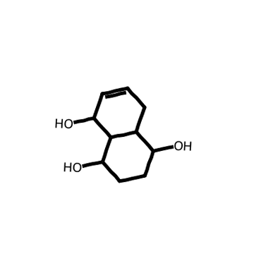 OC1C=CCC2C(O)CCC(O)C12